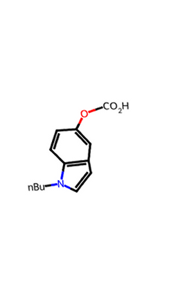 CCCCn1ccc2cc(OC(=O)O)ccc21